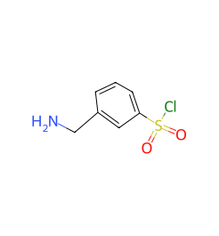 NCc1cccc(S(=O)(=O)Cl)c1